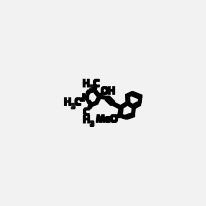 COc1ccc2ccccc2c1C#CC1(O)CC(C)N(C)CC1C